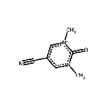 Cn1cc(C#N)c[n+](C)c1=O